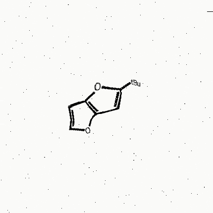 CC(C)(C)c1cc2occc2o1